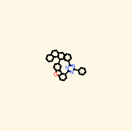 c1ccc(-c2nc(-c3ccccc3)nc(-c3cccc4oc5ccc(-c6cccc7ccc8ccccc8c67)cc5c34)n2)cc1